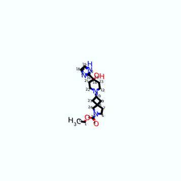 CCOC(=O)N1CCC2(CC(N3CCC(O)(c4ncc[nH]4)CC3)C2)C1